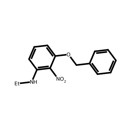 CCNc1cccc(OCc2ccccc2)c1[N+](=O)[O-]